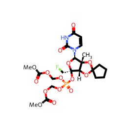 COC(=O)OCOP(=O)(OCOC(=O)OC)O[C@@]1(CF)O[C@@H](n2ccc(=O)[nH]c2=O)[C@]2(C)OC3(CCCC3)O[C@H]12